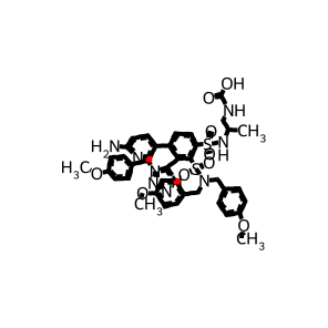 COc1ccc(CN(Cc2ccc(OC)cc2)S(=O)(=O)c2c(S(=O)(=O)NC(C)CNC(=O)O)ccc(-c3ccc(N)nc3)c2-c2nnnn2Cc2ccc(OC)cc2)cc1